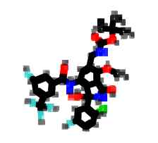 COc1c(CNC(=O)OC(C)(C)C)cc(NC(=O)c2cc(F)cc(C(F)(F)F)c2)c2c1C(=O)NC2(O)c1cc(F)ccc1Cl